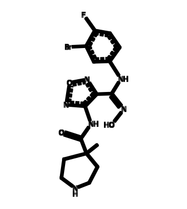 CC1(C(=O)Nc2nonc2/C(=N\O)Nc2ccc(F)c(Br)c2)CCNCC1